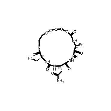 CC[C@@H]1NC(=O)COCCOCCNC(=O)[C@@H](CO)NC(=O)N[C@@H](CC(N)=O)C(=O)NNC1=O